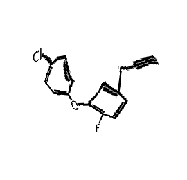 C#C[CH]c1ccc(F)c(Oc2ccc(Cl)cc2)c1